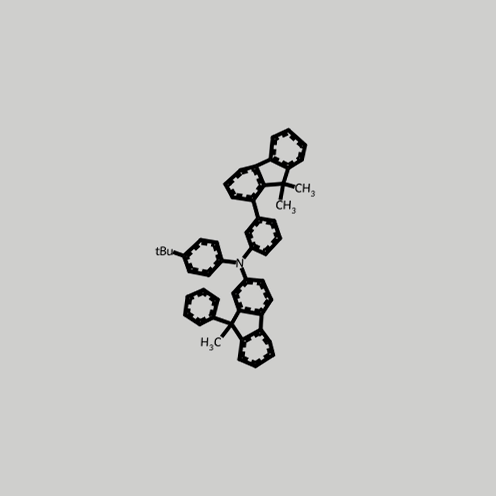 CC(C)(C)c1ccc(N(c2cccc(-c3cccc4c3C(C)(C)c3ccccc3-4)c2)c2ccc3c(c2)C(C)(c2ccccc2)c2ccccc2-3)cc1